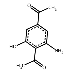 CC(=O)c1cc(N)c(C(C)=O)c(O)c1